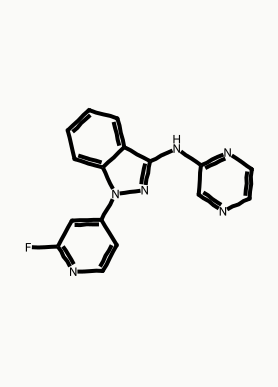 Fc1cc(-n2nc(Nc3cnccn3)c3ccccc32)ccn1